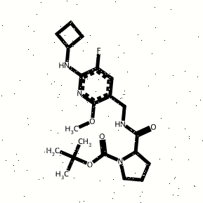 COc1nc(NC2CCC2)c(F)cc1CNC(=O)C1CCCN1C(=O)OC(C)(C)C